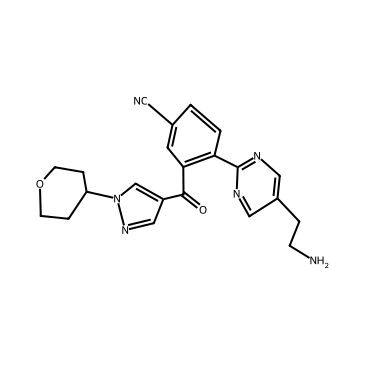 N#Cc1ccc(-c2ncc(CCN)cn2)c(C(=O)c2cnn(C3CCOCC3)c2)c1